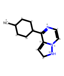 N#CC1CCC(C2=NC=CN3NCC=C23)CC1